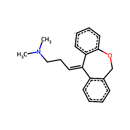 CN(C)CCC=C1c2ccccc2COc2cc[c]cc21